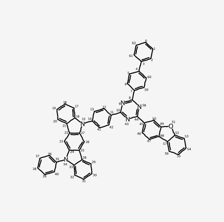 c1ccc(-c2ccc(-c3nc(-c4ccc(-n5c6ccccc6c6cc7c(cc65)c5ccccc5n7-c5ccccc5)cc4)nc(-c4ccc5c(c4)oc4ccccc45)n3)cc2)cc1